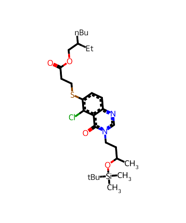 CCCCC(CC)COC(=O)CCSc1ccc2ncn(CCC(C)O[Si](C)(C)C(C)(C)C)c(=O)c2c1Cl